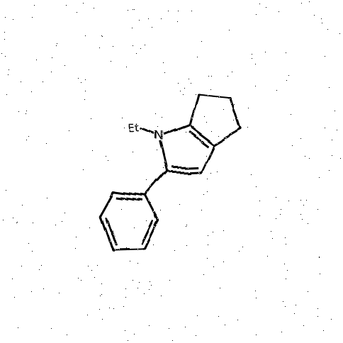 CCn1c(-c2ccccc2)cc2c1CCC2